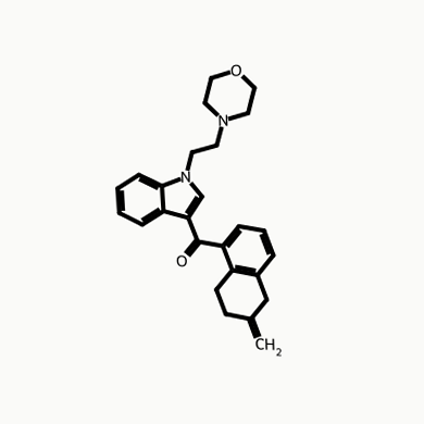 C=C1CCc2c(cccc2C(=O)c2cn(CCN3CCOCC3)c3ccccc23)C1